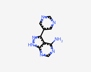 Nc1ncnc2[nH]nc(-c3cncnc3)c12